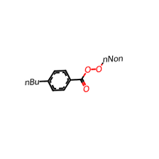 [CH2]CCCCCCCCOOC(=O)c1ccc(CCCC)cc1